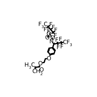 C=C(C)C(=O)OCCOc1ccc(C(=NOS(=O)(=O)C(F)(F)C(F)(F)C(F)(F)C(F)(F)F)C(F)(F)C(F)(F)C(F)(F)F)cc1